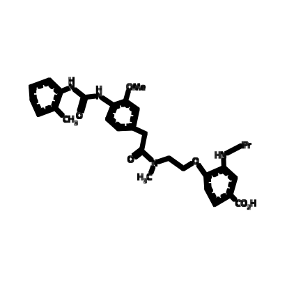 COc1cc(CC(=O)N(C)CCOc2ccc(C(=O)O)cc2NC(C)C)ccc1NC(=O)Nc1ccccc1C